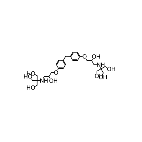 OCC(CO)(CO)NCC(O)COc1ccc(Cc2ccc(OCC(O)CNC(CO)(CO)CO)cc2)cc1